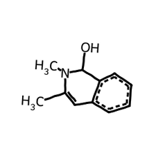 CC1=Cc2ccccc2C(O)N1C